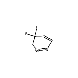 FC1(F)C=CN=[As]C1